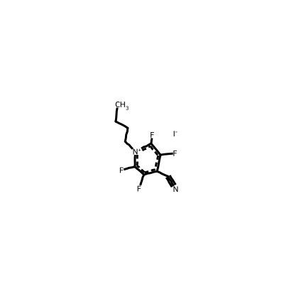 CCCC[n+]1c(F)c(F)c(C#N)c(F)c1F.[I-]